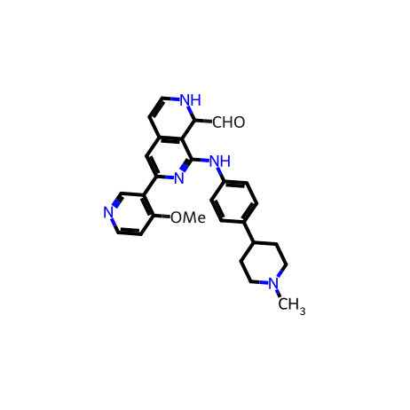 COc1ccncc1-c1cc2c(c(Nc3ccc(C4CCN(C)CC4)cc3)n1)C(C=O)NC=C2